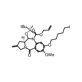 C=CCOC(=O)N1c2cc(OCCCCCI)c(OC)cc2C(=O)N2CC(=C)C[C@H]2C1O[Si](C)(C)C(C)(C)C